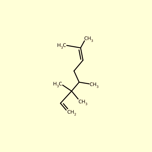 C=CC(C)(C)C(C)CC=C(C)C